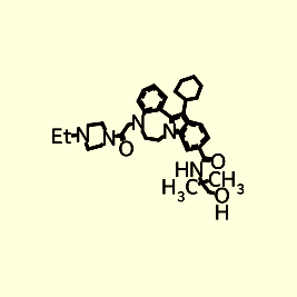 CCN1CCN(C(=O)CN2CCn3c(c(C4CCCCC4)c4ccc(C(=O)NC(C)(C)CO)cc43)-c3ccccc32)CC1